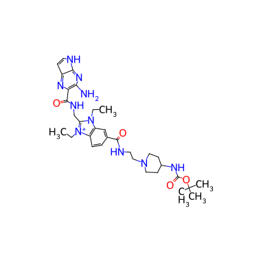 CCn1c(CNC(=O)c2nc3cc[nH]c3nc2N)[n+](CC)c2ccc(C(=O)NCCN3CCC(NC(=O)OC(C)(C)C)CC3)cc21